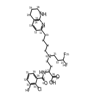 O=C(NC(CCN(CCCCc1ccc2c(n1)NCCC2)CCC(F)F)C(=O)O)c1cccc(F)c1Cl